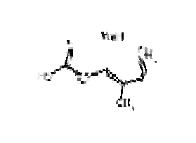 C=CC(C)=COC(=S)S.[NaH]